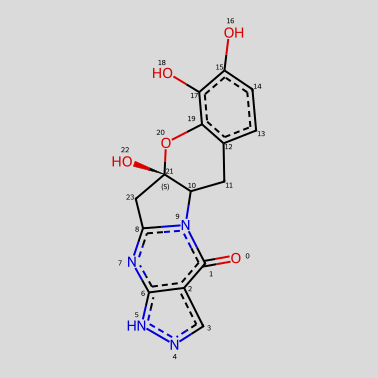 O=c1c2cn[nH]c2nc2n1C1Cc3ccc(O)c(O)c3O[C@@]1(O)C2